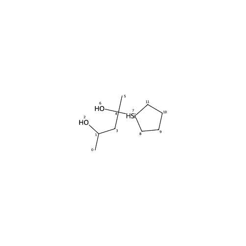 CC(O)CC(C)(O)[SiH]1CCCC1